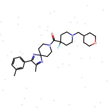 CC1=NC2(CCN(C(=O)C3(F)CCN(CC4CCOCC4)CC3)CC2)N=C1c1cccc(C)c1